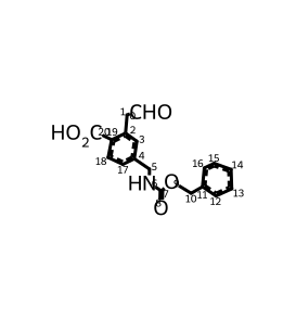 O=CCc1cc(CNC(=O)OCc2ccccc2)ccc1C(=O)O